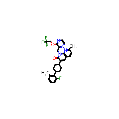 Cc1ccc2cc(C3CCC(c4c(C)cccc4F)CC3)c(=O)n(Cc3nccnc3OCC(F)(F)F)c2n1